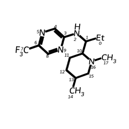 CCC(Nc1cnc(C(F)(F)F)cn1)C1CCC(C)CN1C